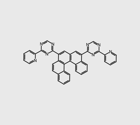 c1ccc(-c2ncnc(-c3cc4cc(-c5ncnc(-c6ccccn6)n5)c5ccc6ccccc6c5c4c4ccccc34)n2)nc1